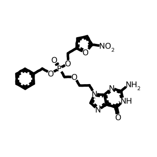 Nc1nc2c(ncn2CCOCP(=O)(OCc2ccccc2)OCc2ccc([N+](=O)[O-])o2)c(=O)[nH]1